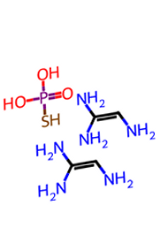 NC=C(N)N.NC=C(N)N.O=P(O)(O)S